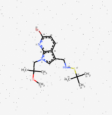 COC(C)(C)Cn1cc(CNSC(C)(C)C)c2ccc(Br)nc21